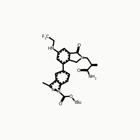 C=C(CN1Cc2c(cc(NCC(F)(F)F)cc2-c2ccc3c(c2)c(C)nn3C(=O)OC(C)(C)C)C1=O)C(N)=O